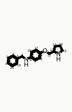 c1ccc(CNc2ccc(OCC3CCCN3)cc2)cc1